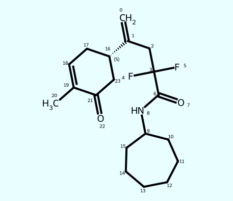 C=C(CC(F)(F)C(=O)NC1CCCCCC1)[C@H]1CC=C(C)C(=O)C1